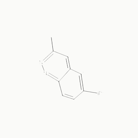 Cc1cc2cc(C(C)C)ccc2nn1